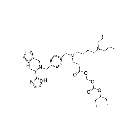 CCCN(CCC)CCCCN(CCC(=O)OCOC(=O)OC(CC)CC)Cc1ccc(CN(Cc2ncc[nH]2)C(C)c2ncc[nH]2)cc1